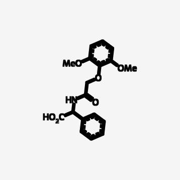 COc1cccc(OC)c1OCC(=O)NC(C(=O)O)c1ccccc1